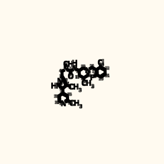 CC1=C2C(CN(C)C(=O)NC3CC(C)CN(Cc4c(F)cccc4Cl)C3)N2NC1c1ccnc(C)c1